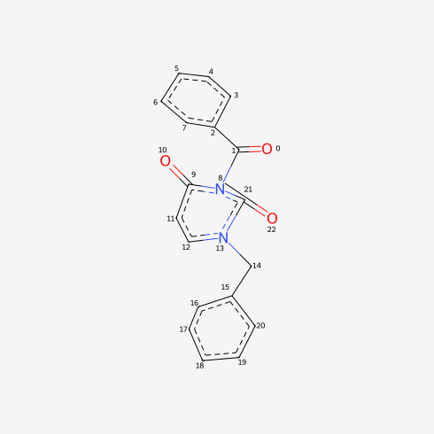 O=C(c1ccccc1)n1c(=O)ccn(Cc2ccccc2)c1=O